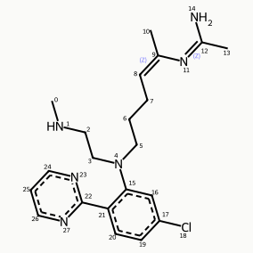 CNCCN(CCC/C=C(C)\N=C(\C)N)c1cc(Cl)ccc1-c1ncccn1